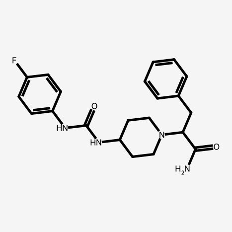 NC(=O)C(Cc1ccccc1)N1CCC(NC(=O)Nc2ccc(F)cc2)CC1